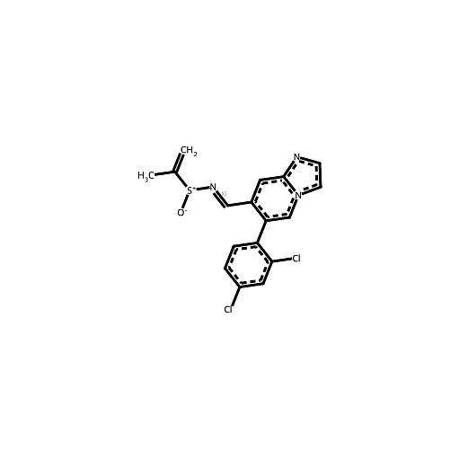 C=C(C)[S+]([O-])/N=C/c1cc2nccn2cc1-c1ccc(Cl)cc1Cl